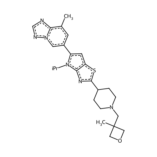 Cc1cc(-c2cc3sc(C4CCN(CC5(C)COC5)CC4)nc3n2C(C)C)cn2ncnc12